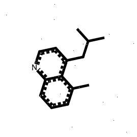 Cc1cccc2nccc(CC(C)C)c12